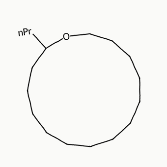 CCCC1CCCCCCCCCCCCCO1